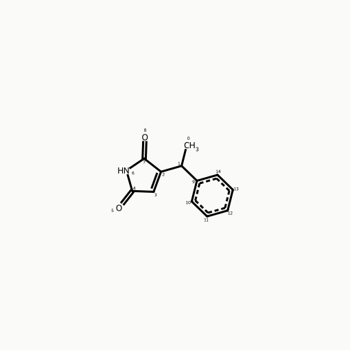 CC(C1=CC(=O)NC1=O)c1ccccc1